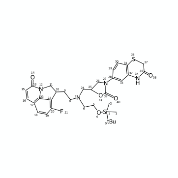 CC(C)(C)[Si](C)(C)OCCN(CCC1Cn2c(=O)ccc3ccc(F)c1c32)CC1CN(c2ccc3c(c2)NC(=O)CS3)C(=O)O1